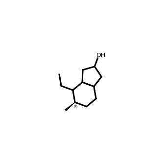 CCC1C2CC(O)CC2CC[C@H]1C